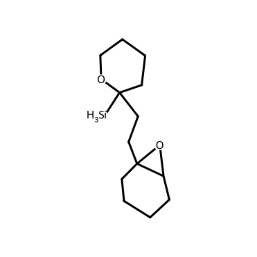 [SiH3]C1(CCC23CCCCC2O3)CCCCO1